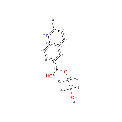 Cc1ccc2cc(B(O)OC(C)(C)C(C)(C)O)ccc2n1